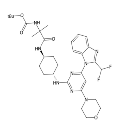 CC(C)(C)OC(=O)NC(C)(C)C(=O)N[C@H]1CC[C@H](Nc2nc(N3CCOCC3)cc(-n3c(C(F)F)nc4ccccc43)n2)CC1